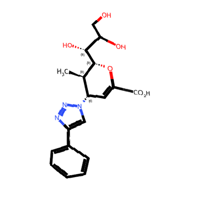 C[C@H]1[C@H]([C@H](O)C(O)CO)OC(C(=O)O)=C[C@@H]1n1cc(-c2ccccc2)nn1